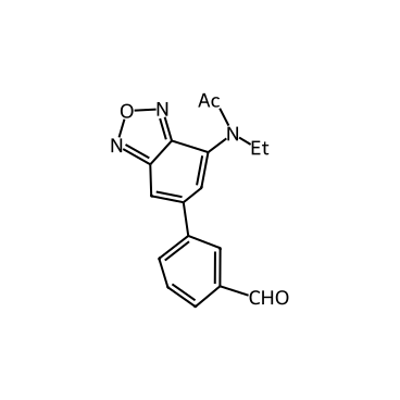 CCN(C(C)=O)c1cc(-c2cccc(C=O)c2)cc2nonc12